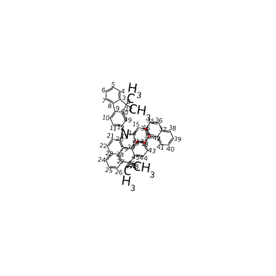 CC1(C)c2ccccc2-c2ccc(N(c3ccccc3)c3ccc4cccc5c4c3-c3cc(-c4cccc6ccccc46)ccc3C5(C)C)cc21